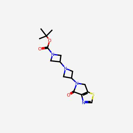 CC(C)(C)OC(=O)N1CC(N2CC(N3Cc4scnc4C3=O)C2)C1